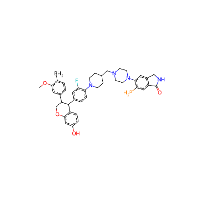 Bc1ccc(C2COc3cc(O)ccc3C2c2ccc(N3CCC(CN4CCN(c5cc6c(cc5P)C(=O)NC6)CC4)CC3)c(F)c2)cc1OC